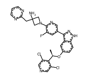 C[C@@H](Oc1ccc2[nH]nc(-c3cnc(N4CC(N)(Cc5ncccn5)C4)c(F)c3)c2c1)c1c(Cl)cncc1Cl